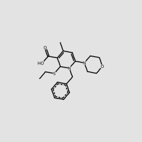 CCSC1C(C(=O)O)=C(C)C=C(N2CCOCC2)N1Cc1ccccc1